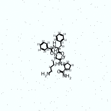 NCCCC[C@H](NC(=O)[C@H](Cc1ccccc1)NC(=O)c1ccccc1)C(=O)N[C@@H]1CCC[C@H]1C(N)=O